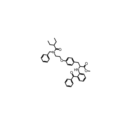 CCC(CC)C(=O)N(CCOc1ccc(CC(Nc2ccccc2C(=O)c2ccccc2)C(=O)OC)cc1)Cc1ccccc1